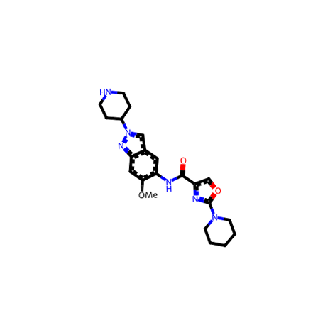 COc1cc2nn(C3CCNCC3)cc2cc1NC(=O)c1coc(N2CCCCC2)n1